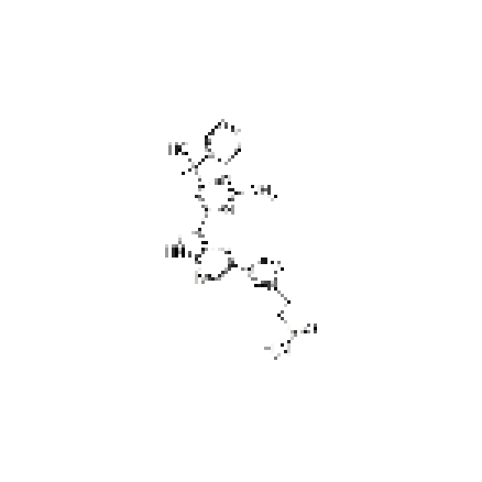 CC(O)(c1ccccc1)c1cc(-c2c[nH]c3ncc(-c4cnn(CCC(N)=O)c4)cc23)nc(N)n1